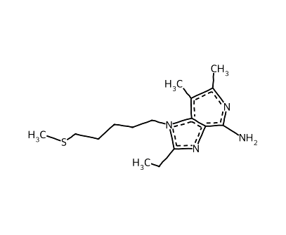 CCc1nc2c(N)nc(C)c(C)c2n1CCCCCSC